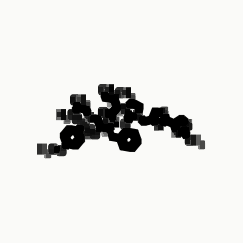 CC[C@H](C)[C@@H](C(=O)N[C@@H](Cc1ccccc1)[C@H](O)CN(CC(C)C)S(=O)(=O)c1ccc(OC)cc1)N1CCN(Cc2csc(-c3csc(C)n3)n2)C1=O